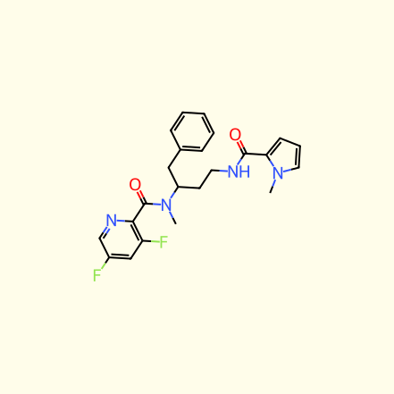 CN(C(=O)c1ncc(F)cc1F)C(CCNC(=O)c1cccn1C)Cc1ccccc1